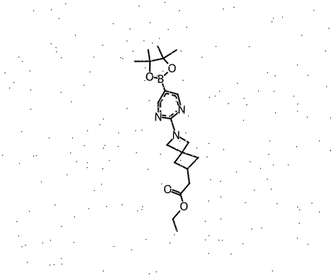 CCOC(=O)CC1CC2(C1)CN(c1ncc(B3OC(C)(C)C(C)(C)O3)cn1)C2